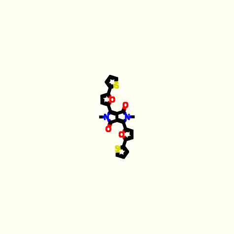 CN1C(=O)C2=C(c3ccc(-c4cccs4)o3)N(C)C(=O)C2=C1c1ccc(-c2cccs2)o1